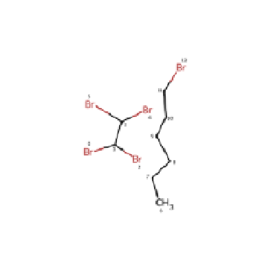 BrC(Br)C(Br)Br.CCCCCCBr